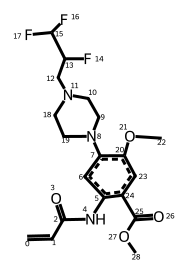 C=CC(=O)Nc1cc(N2CCN(CC(F)C(F)F)CC2)c(OC)cc1C(=O)OC